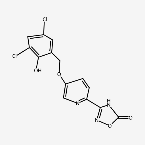 O=c1[nH]c(-c2ccc(OCc3cc(Cl)cc(Cl)c3O)cn2)no1